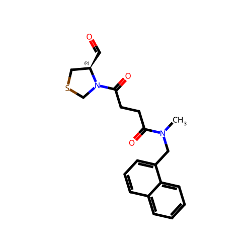 CN(Cc1cccc2ccccc12)C(=O)CCC(=O)N1CSC[C@H]1C=O